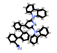 N#Cc1ccccc1-c1ccccc1-c1ccccc1-c1cc(-n2c3ccccc3c3ccccc32)nc(-n2c3ccccc3c3ccccc32)c1